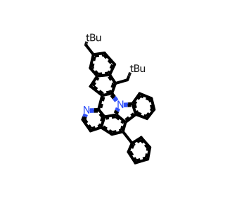 CC(C)(C)Cc1ccc2c(CC(C)(C)C)c3c(cc2c1)c1nccc2cc(-c4ccccc4)c4c5ccccc5n3c4c21